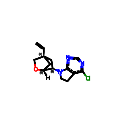 C=C[C@]12CO[C@H](C1)[C@H](N1CCc3c(Cl)ncnc31)C2